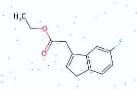 CCOC(=O)CC1=CCc2ccc(F)cc21